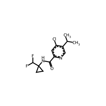 CC(C)c1cnc(C(=O)NC2(C(F)F)CC2)cc1Cl